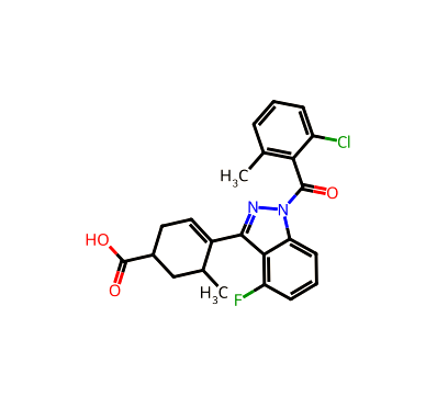 Cc1cccc(Cl)c1C(=O)n1nc(C2=CCC(C(=O)O)CC2C)c2c(F)cccc21